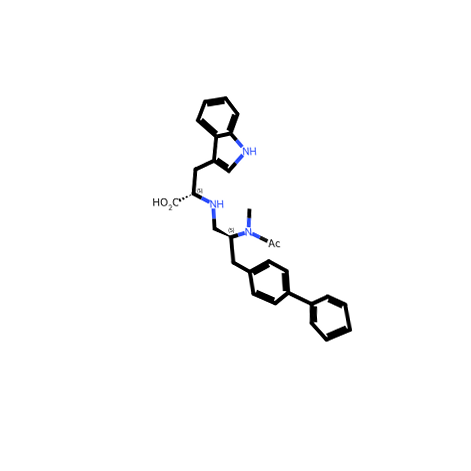 CC(=O)N(C)[C@H](CN[C@@H](Cc1c[nH]c2ccccc12)C(=O)O)Cc1ccc(-c2ccccc2)cc1